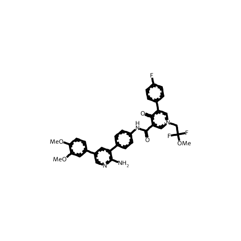 COc1ccc(-c2cnc(N)c(-c3ccc(NC(=O)c4cn(CC(F)(F)OC)cc(-c5ccc(F)cc5)c4=O)cc3)c2)cc1OC